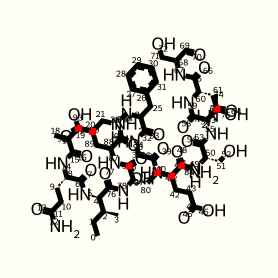 CC[C@H](C)[C@H](NC(=O)[C@H](CCC(N)=O)NC(=O)C(C)CCCNNC(Cc1ccccc1)C(=O)N[C@@H](CO)C(=O)NC(CCC(=O)O)C(=O)N[C@@H](CO)C(=O)N[C@H](C(=O)N[C@@H](CC(N)=O)C(=O)NC(C=O)CO)[C@@H](C)O)C(=O)N[C@@H](CCCCN)C(=O)NC(CCC(=O)O)C(N)=O